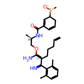 C=CCCC/C(C(=N)c1c(C)cccc1C)=C(/N)OC[C@@H](C)NC(=O)C1=CC([S+](C)[O-])CC=C1